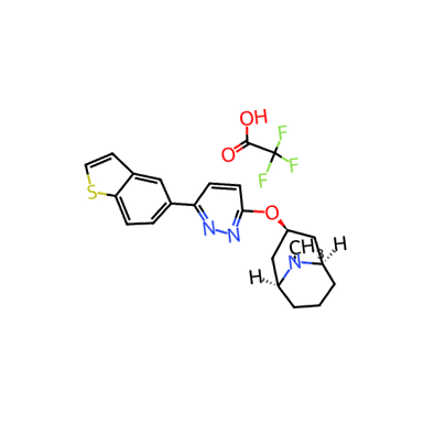 CN1[C@@H]2CCC[C@H]1C[C@@H](Oc1ccc(-c3ccc4sccc4c3)nn1)C2.O=C(O)C(F)(F)F